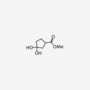 COC(=O)C1CCC(O)(O)C1